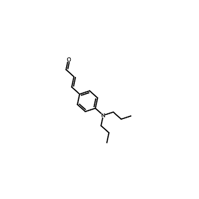 CCCN(CCC)c1ccc(C=CC=O)cc1